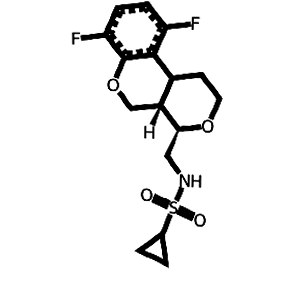 O=S(=O)(NC[C@@H]1OCCC2c3c(F)ccc(F)c3OC[C@H]21)C1CC1